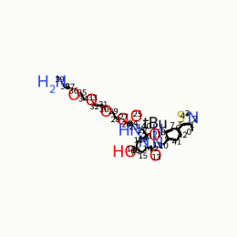 Cc1ncsc1-c1ccc(CNC(=O)C2C[C@@H](O)CN2C(=O)C(NC(=O)COCCOCCOCCOCCN)C(C)(C)C)cc1